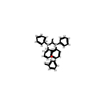 CC(P(c1ccccc1)c1ccccc1)P(c1ccccc1)c1ccccc1.Cc1ccccc1